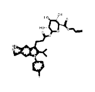 C=CCOC(=O)[C@H]1OC(OC(=O)CCc2c(C(C)C)n(-c3ccc(F)cc3)c3cc4cn[nH]c4cc23)[C@H](O)[C@@H](O)[C@@H]1O